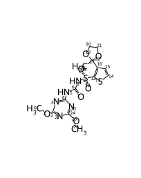 COc1nc(NC(=O)NS(=O)(=O)c2sccc2C2(C)OCCO2)nc(OC)n1